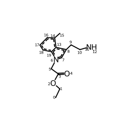 CCOC(=O)Cn1cc(CCNC)c2c(C)cccc21